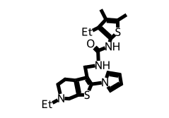 CCc1c(NC(=O)NCc2c(-n3cccc3)sc3c2CCN(CC)C3)sc(C)c1C